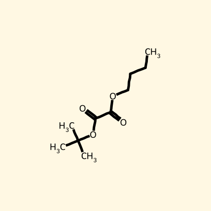 CCCCOC(=O)C(=O)OC(C)(C)C